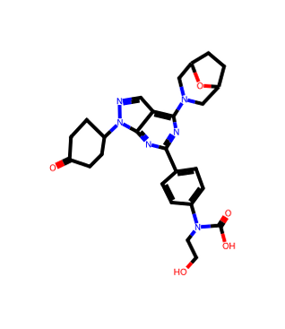 O=C1CCC(n2ncc3c(N4CC5CCC(C4)O5)nc(-c4ccc(N(CCO)C(=O)O)cc4)nc32)CC1